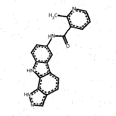 Cc1ncccc1C(=O)Nc1ccc2[nH]c3c(ccc4cn[nH]c43)c2c1